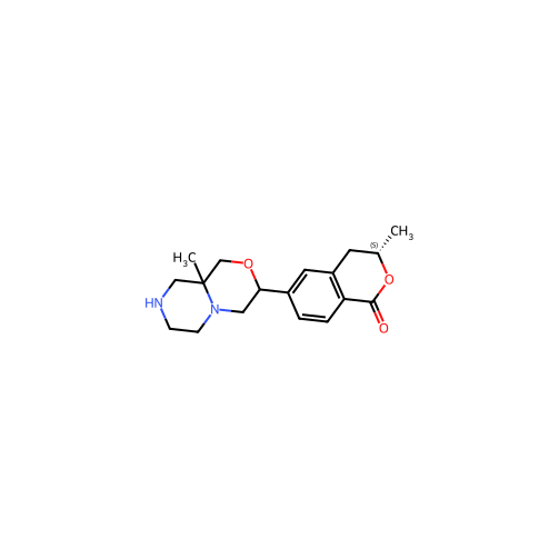 C[C@H]1Cc2cc(C3CN4CCNCC4(C)CO3)ccc2C(=O)O1